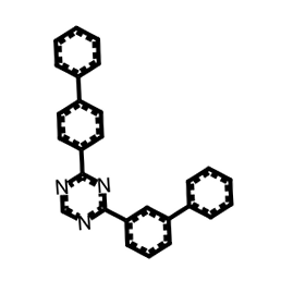 c1ccc(-c2ccc(-c3ncnc(-c4cccc(-c5ccccc5)c4)n3)cc2)cc1